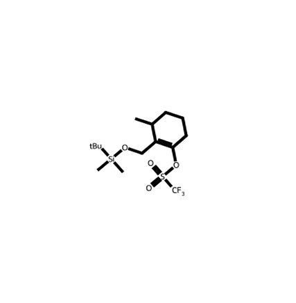 CC1CCCC(OS(=O)(=O)C(F)(F)F)=C1CO[Si](C)(C)C(C)(C)C